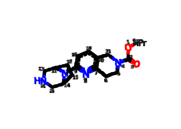 CC(C)OC(=O)N1CCc2nc(N3C4CCC3CNC4)ccc2C1